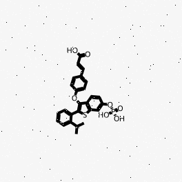 CC(C)c1ccccc1-c1sc2cc(OP(=O)(O)O)ccc2c1Oc1ccc(/C=C/C(=O)O)cc1